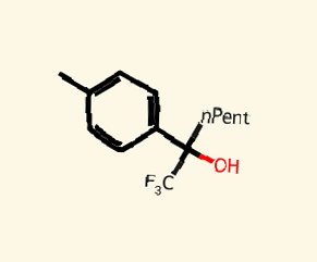 CCCCCC(O)(c1ccc(C)cc1)C(F)(F)F